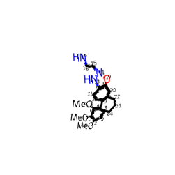 COc1cc2c(c(OC)c1OC)-c1ccc(N/N=C\C=N)c(=O)cc1CCC2